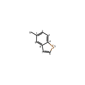 [CH2]c1ccc2sccc2c1